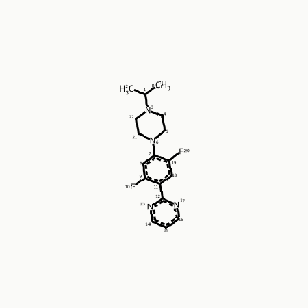 CC(C)N1CCN(c2cc(F)c(-c3ncccn3)cc2F)CC1